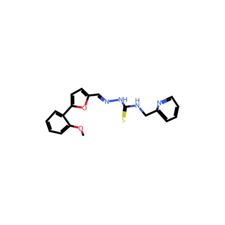 COc1ccccc1-c1ccc(C=NNC(=S)NCc2ccccn2)o1